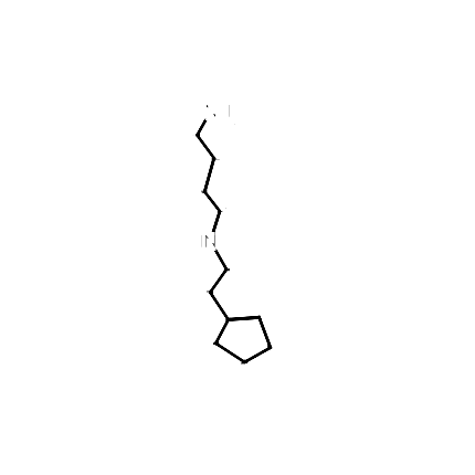 NCCCCNCCC1CCCC1